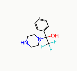 OC(c1cc[c]cc1)(N1CCNCC1)C(F)(F)F